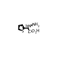 NNC(C(=O)O)c1cccs1